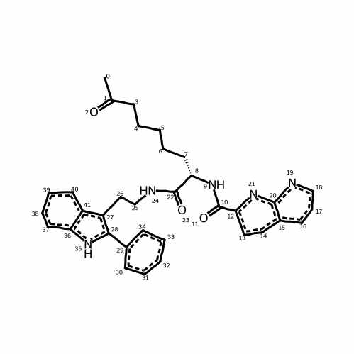 CC(=O)CCCCC[C@H](NC(=O)c1ccc2cccnc2n1)C(=O)NCCc1c(-c2ccccc2)[nH]c2ccccc12